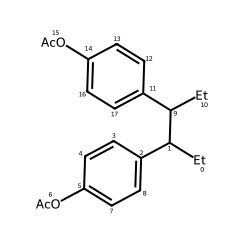 CCC(c1ccc(OC(C)=O)cc1)C(CC)c1ccc(OC(C)=O)cc1